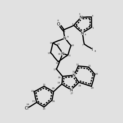 O=C(c1nccn1CI)N1CC2CCC1CN2Cc1c(-c2ccc(Cl)cc2)nc2ccccn12